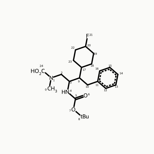 CN(CC(NC(=O)OC(C)(C)C)C(Cc1ccccc1)C1CCC(F)CC1)C(=O)O